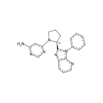 Nc1cc(N2CCC[C@H]2c2nc3cccnc3n2-c2ccccc2)ncn1